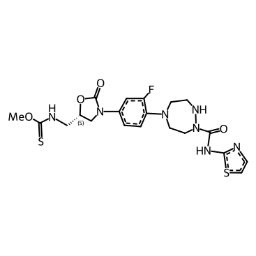 COC(=S)NC[C@H]1CN(c2ccc(N3CCNN(C(=O)Nc4nccs4)CC3)c(F)c2)C(=O)O1